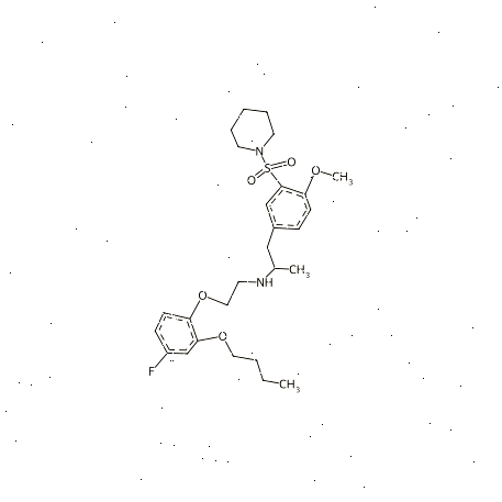 CCCCOc1cc(F)ccc1OCCNC(C)Cc1ccc(OC)c(S(=O)(=O)N2CCCCC2)c1